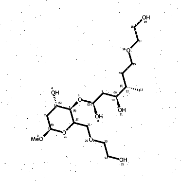 CO[C@H]1C[C@H](O)[C@@H](O[C@H](O)C[C@H](O)[C@@H](C)CCOCCO)C(COCCO)O1